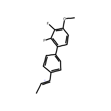 C/C=C/c1ccc(-c2ccc(OC)c(F)c2F)cc1